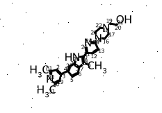 Cc1cc(-c2ccc3c(C)c(-c4ccc(N5CCN(CCO)CC5)nc4)[nH]c3c2)cc(C)n1